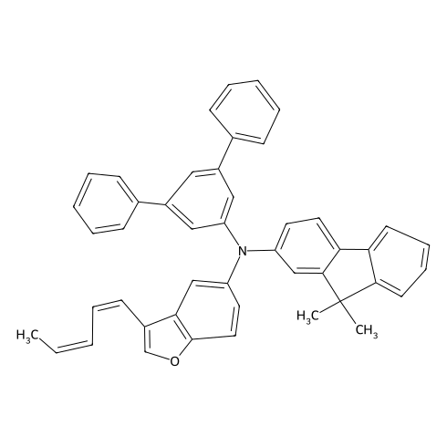 C/C=C\C=C/c1coc2ccc(N(c3cc(-c4ccccc4)cc(-c4ccccc4)c3)c3ccc4c(c3)C(C)(C)c3ccccc3-4)cc12